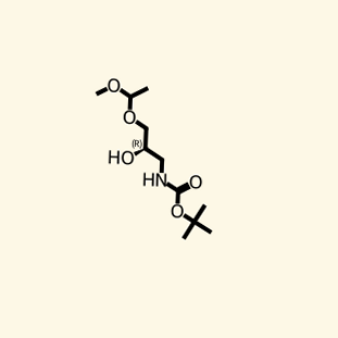 COC(C)OC[C@H](O)CNC(=O)OC(C)(C)C